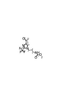 COC(=O)NCCCn1cc(C(C)=O)nc1C(F)(F)F